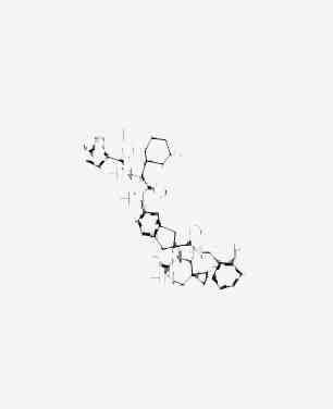 Cn1nccc1C(=O)N[C@H](C(=O)Nc1ccc2c(c1)CC(C(=O)NCc1ccccc1F)(N1CC3(CC3)CNC1=O)C2)C1CCCCC1